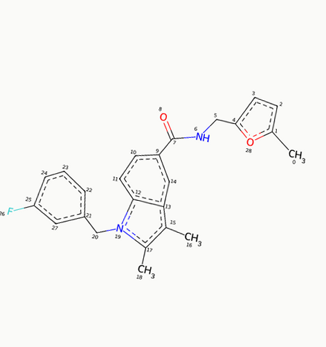 Cc1ccc(CNC(=O)c2ccc3c(c2)c(C)c(C)n3Cc2cccc(F)c2)o1